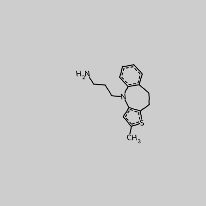 Cc1cc2c(s1)CCc1ccccc1N2CCCN